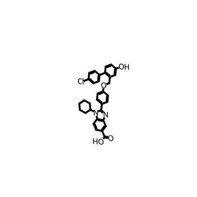 O=C(O)c1ccc2c(c1)nc(-c1ccc(OCc3cc(O)ccc3-c3ccc(Cl)cc3)cc1)n2C1CCCCC1